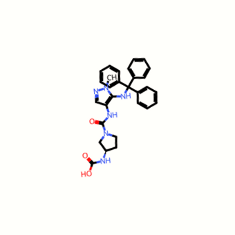 Cn1ncc(NC(=O)N2CC[C@@H](NC(=O)O)C2)c1NC(c1ccccc1)(c1ccccc1)c1ccccc1